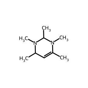 CC1=CC(C)N(C)C(C)N1C